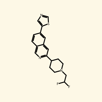 FC(F)CN1CCC(c2cc3cc(-c4cncs4)ccc3cn2)CC1